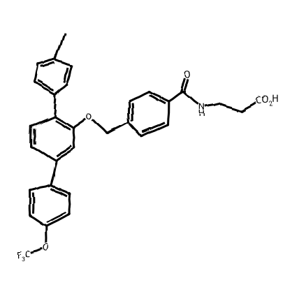 Cc1ccc(-c2ccc(-c3ccc(OC(F)(F)F)cc3)cc2OCc2ccc(C(=O)NCCC(=O)O)cc2)cc1